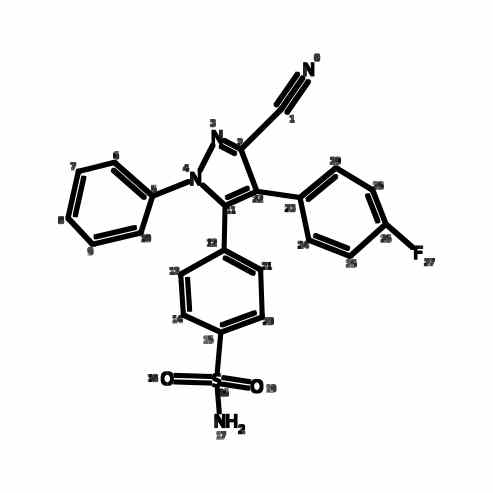 N#Cc1nn(-c2ccccc2)c(-c2ccc(S(N)(=O)=O)cc2)c1-c1ccc(F)cc1